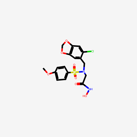 COc1ccc(S(=O)(=O)N(CC(=O)NO)Cc2cc3c(cc2Cl)OCO3)cc1